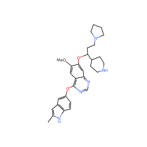 COc1cc2c(Oc3ccc4[nH]c(C)cc4c3)ncnc2cc1OC(CCN1CCCC1)C1CCNCC1